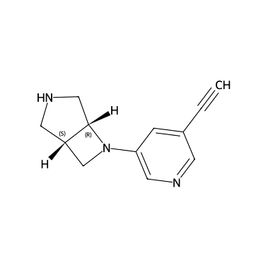 C#Cc1cncc(N2C[C@@H]3CNC[C@@H]32)c1